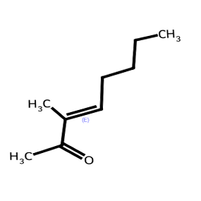 CCCC/C=C(\C)C(C)=O